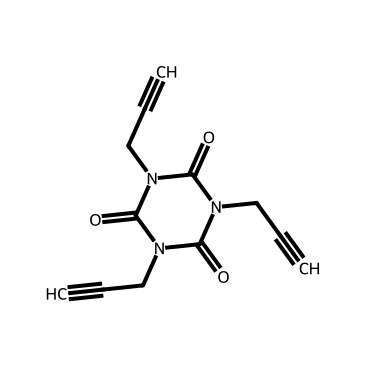 C#CCn1c(=O)n(CC#C)c(=O)n(CC#C)c1=O